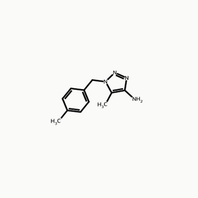 Cc1ccc(Cn2nnc(N)c2C)cc1